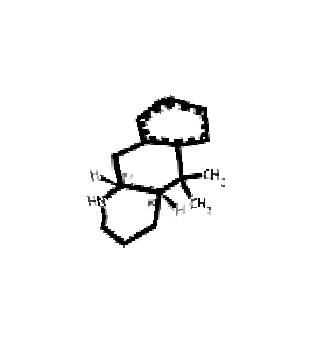 CC1(C)c2ccccc2C[C@H]2NCCC[C@H]21